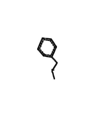 C[I+]Cc1ccccc1